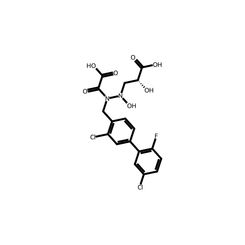 O=C(O)C(=O)N(Cc1ccc(-c2cc(Cl)ccc2F)cc1Cl)N(O)C[C@@H](O)C(=O)O